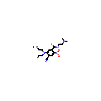 BCCN(CCI)c1cc(C(=O)NCCN(C)C)c([N+](=O)[O-])cc1C#N